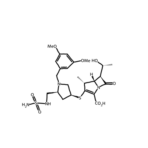 COc1cc(CN2C[C@@H](SC3=C(C(=O)O)N4C(=O)[C@H]([C@@H](C)O)[C@H]4[C@H]3C)C[C@H]2CNS(N)(=O)=O)cc(OC)c1